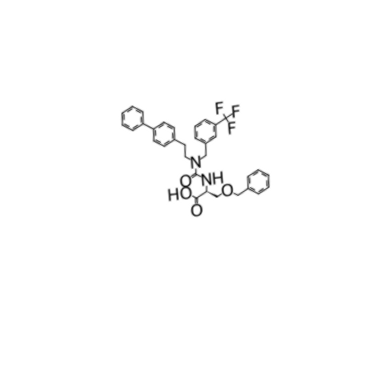 O=C(O)[C@H](COCc1ccccc1)NC(=O)N(CCc1ccc(-c2ccccc2)cc1)Cc1cccc(C(F)(F)F)c1